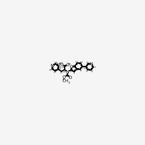 COC(=O)N(c1cc2cc(-c3cccnc3)ccc2o1)C(Cc1ccncc1)C(=O)O